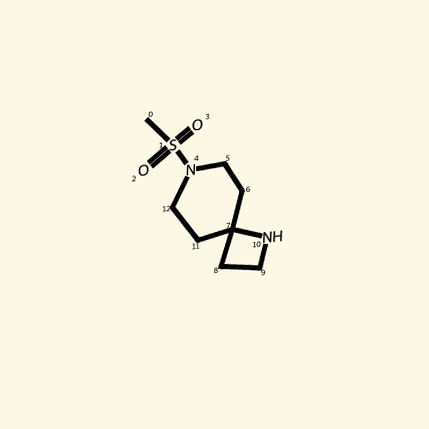 CS(=O)(=O)N1CCC2(CCN2)CC1